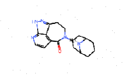 CN1C2CCCC1CC(N1CCc3n[nH]c4nccc(c34)C1=O)C2